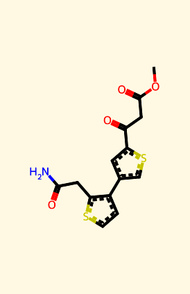 COC(=O)CC(=O)c1cc(-c2ccsc2CC(N)=O)cs1